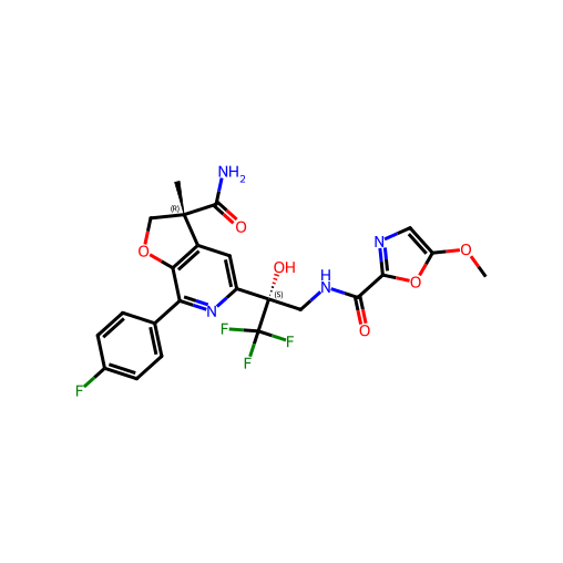 COc1cnc(C(=O)NC[C@](O)(c2cc3c(c(-c4ccc(F)cc4)n2)OC[C@]3(C)C(N)=O)C(F)(F)F)o1